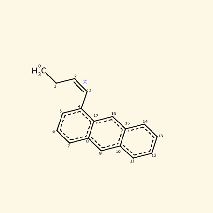 CC/C=[C]\c1cccc2cc3ccccc3cc12